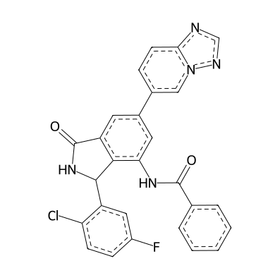 O=C(Nc1cc(-c2ccc3ncnn3c2)cc2c1C(c1cc(F)ccc1Cl)NC2=O)c1ccccc1